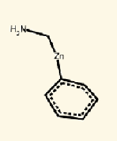 N[CH2][Zn][c]1ccccc1